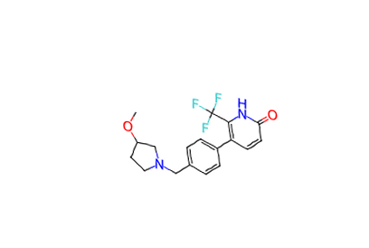 COC1CCN(Cc2ccc(-c3ccc(=O)[nH]c3C(F)(F)F)cc2)C1